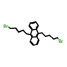 BrCCCCCc1c2ccccc2c(CCCCCBr)c2ccccc12